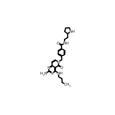 CCCCNc1nc(N)nc2ccn(Cc3ccc(C(=O)NCCC4CCCN4)cc3)c(=O)c12